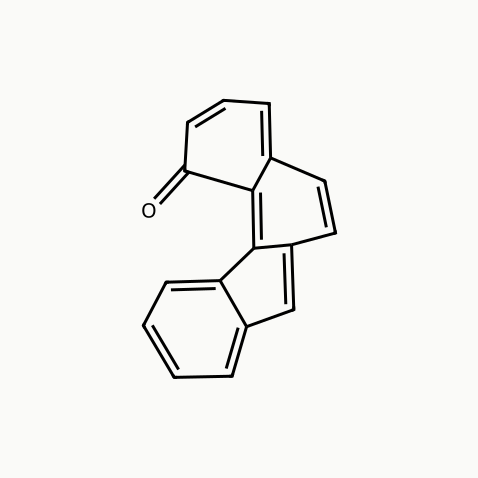 O=C1C=CC=c2ccc3c(c21)-c1ccccc1C=3